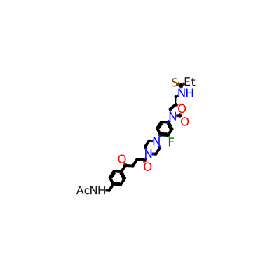 CCC(=S)NC[C@@H]1CN(c2ccc(N3CCN(C(=O)CCC(=O)c4ccc(CNC(C)=O)cc4)CC3)c(F)c2)C(=O)O1